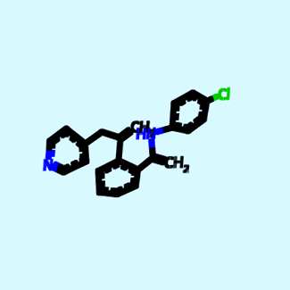 C=C(Cc1ccncc1)c1ccccc1C(=C)Nc1ccc(Cl)cc1